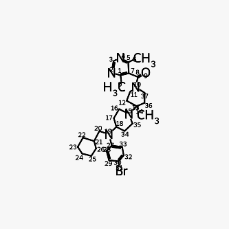 Cc1ncnc(C)c1C(=O)N1CCC(C)(N2CCC(N(CC3CCCCC3)c3ccc(Br)cc3)CC2)CC1